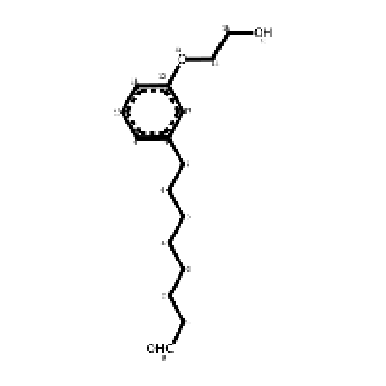 O=CCCCCCCCc1cccc(OCCO)c1